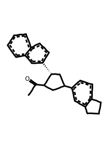 CC(=O)C1CC(c2ccc3c(c2)CCC3)C[C@H]1c1ccc2ccccc2c1